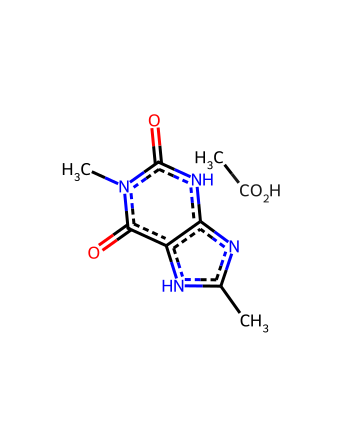 CC(=O)O.Cc1nc2[nH]c(=O)n(C)c(=O)c2[nH]1